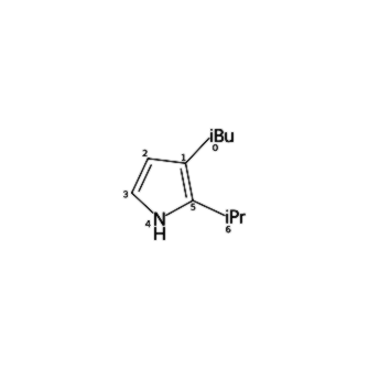 CCC(C)c1cc[nH]c1C(C)C